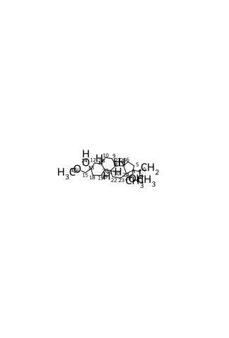 C=C(C)C1(O)CC[C@H]2[C@@H]3CC[C@@H]4C[C@@](O)(COC)CC[C@@H]4[C@H]3CC[C@@]21C